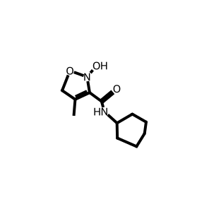 CC1=C(C(=O)NC2CCCCC2)N(O)OC1